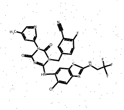 Cc1cncc(-n2c(=O)nc(Nc3cc4sc(NCC(F)(F)F)nc4cc3Cl)n(Cc3ccc(F)c(C#N)c3)c2=O)c1